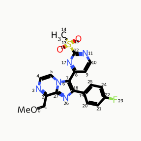 COCc1nccn2c(-c3ccnc(S(C)(=O)=O)n3)c(-c3ccc(F)cc3)nc12